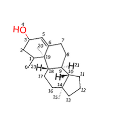 CC1CC(O)C=C2CC[C@H]3[C@@H]4CCC[C@@]4(C)CC[C@@H]3[C@]21C